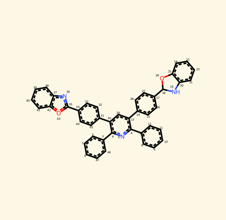 c1ccc(-c2nc(-c3ccccc3)c(-c3ccc(C4Nc5ccccc5O4)cc3)cc2-c2ccc(-c3nc4ccccc4o3)cc2)cc1